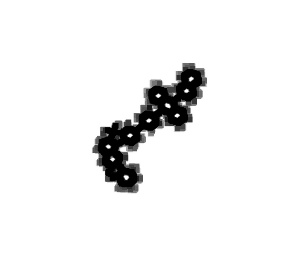 CC1(C)c2cc(-c3ccc(-c4c5ccccc5c(-c5ccc6ccccc6c5)c5ccccc45)cc3)ccc2-c2c1ccc1cc3sc4ccccc4c3cc21